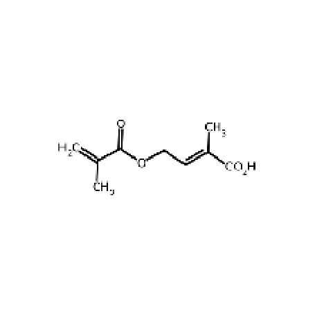 C=C(C)C(=O)OCC=C(C)C(=O)O